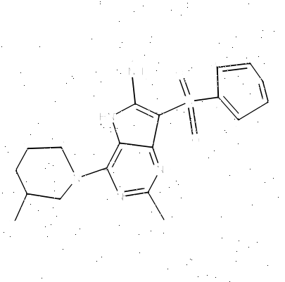 Cc1nc(N2CCCC(C)C2)c2[nH]c(N)c(S(=O)(=O)c3ccccc3)c2n1